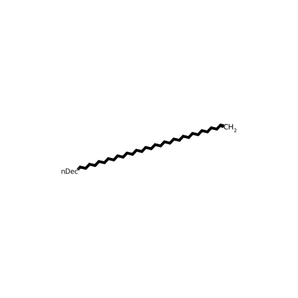 C=CCCCCCCCCCCCCCCCCCCCCCCCCCCCCCCCCCCCCCCCC